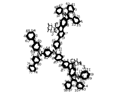 CC1(C)c2cc(-c3ccc(N(c4ccc(-c5ccc6c(c5)C(C)(C)c5cc7c(cc5-6)c(-c5ccccc5)c(-c5ccccc5)n7-c5ccccc5)cc4)c4ccc(N(c5ccc(-c6ccccc6)cc5)c5ccc(-c6ccccc6)cc5)cc4)cc3)ccc2-c2cc3c(-c4ccccc4)c(-c4ccccc4)n(-c4ccccc4)c3cc21